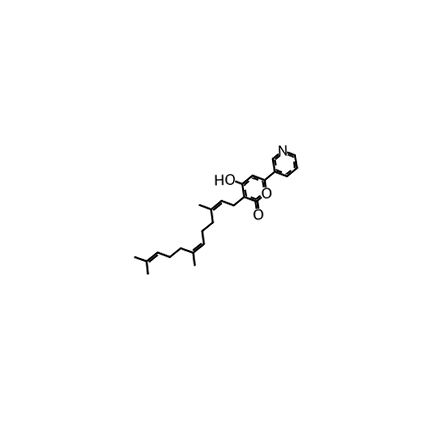 CC(C)=CCCC(C)=CCCC(C)=CCc1c(O)cc(-c2cccnc2)oc1=O